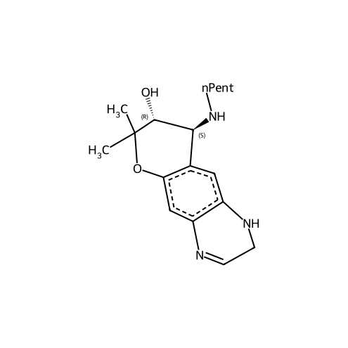 CCCCCN[C@H]1c2cc3c(cc2OC(C)(C)[C@@H]1O)N=CCN3